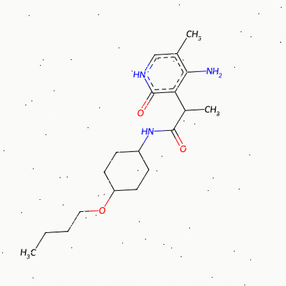 CCCCOC1CCC(NC(=O)C(C)c2c(N)c(C)c[nH]c2=O)CC1